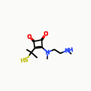 CNCCN(C)c1c(C(C)(C)S)c(=O)c1=O